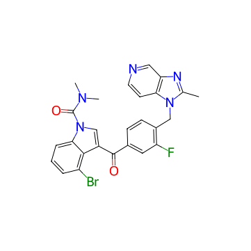 Cc1nc2cnccc2n1Cc1ccc(C(=O)c2cn(C(=O)N(C)C)c3cccc(Br)c23)cc1F